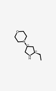 CC[C@@H]1C[C@H](N2CCOCC2)CN1